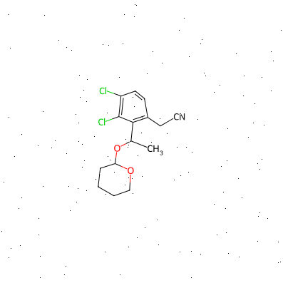 CC(OC1CCCCO1)c1c(CC#N)ccc(Cl)c1Cl